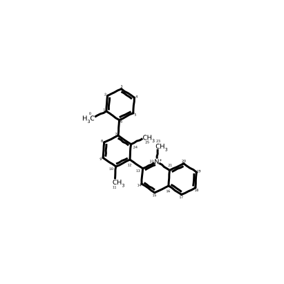 Cc1ccccc1-c1ccc(C)c(-c2ccc3ccccc3[n+]2C)c1C